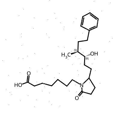 C[C@@H](CCc1ccccc1)[C@H](O)CCC1CCC(=O)N1CCCCCCC(=O)O